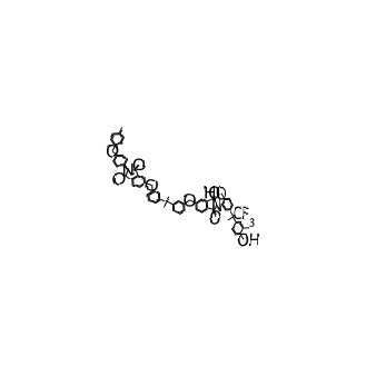 Cc1ccc(Oc2ccc(N3C(=O)c4ccc(Oc5cccc(C(C)(C)c6cccc(Oc7ccc8c(c7)C(=O)N(c7cc(C(C)(c9ccc(O)c(C)c9)C(F)(F)F)ccc7O)C8=O)c6)c5)cc4C3=O)cc2)cc1